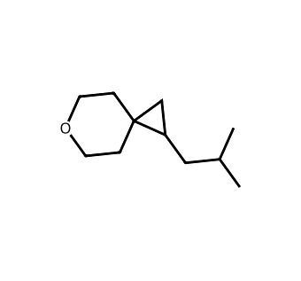 CC(C)CC1CC12CCOCC2